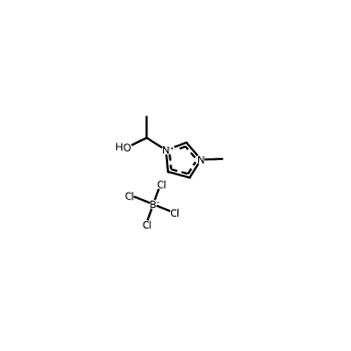 CC(O)[n+]1ccn(C)c1.Cl[B-](Cl)(Cl)Cl